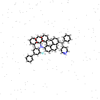 Fc1cc(-c2ccccc2)cc(-c2ccccc2)c1N(c1ccccc1)c1ccc2ccc3c(B(c4ccccc4)c4ccncc4)ccc4c5ccccc5c1c2c34